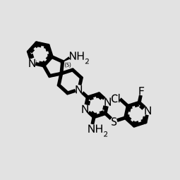 Nc1nc(N2CCC3(CC2)Cc2ncccc2[C@H]3N)cnc1Sc1ccnc(F)c1Cl